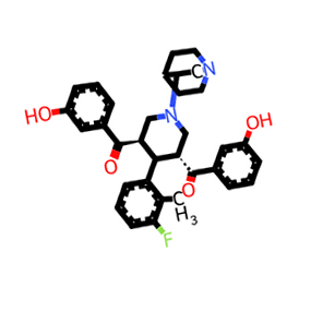 Cc1c(F)cccc1C1[C@@H](C(=O)c2cccc(O)c2)CN(C2CN3CCC2CC3)C[C@@H]1C(=O)c1cccc(O)c1